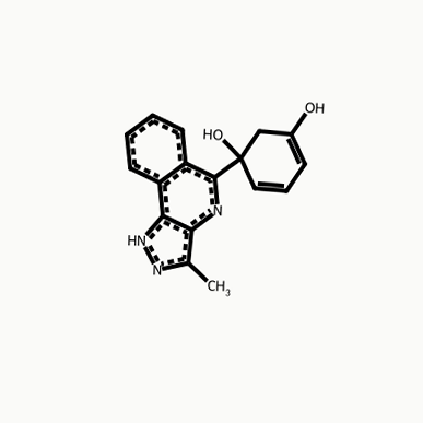 Cc1n[nH]c2c1nc(C1(O)C=CC=C(O)C1)c1ccccc12